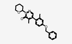 Cc1cc(OCc2ccccc2)ccc1-c1cnn(C2CCCCO2)c(=O)c1C